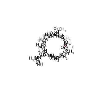 C/C=C/CC(C)[C@H](O)C1C(=O)N[C@@H](CC)C(=O)N(C)CC(=O)N(C)[C@H]2CC(C)N(C2=O)[C@@H](C(C)C)C(=O)N(C)[C@@H](CC(C)C)C(=O)N[C@@H](C)C(=O)N[C@H](COCC(=O)NCC(C)N2CCNCC2)C(=O)N(C)[C@@H](CC(C)C)C(=O)N(C)[C@@H](CC(C)C)C(=O)N(C)[C@@H](C(C)C)C(=O)N1C